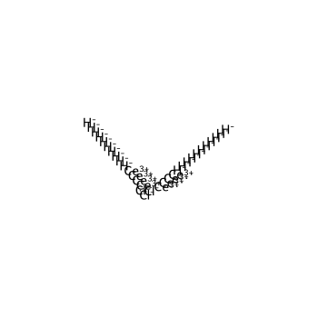 [Ce+3].[Ce+3].[Ce+3].[Ce+3].[Ce+3].[Ce+3].[Ce+3].[Ce+3].[Cl-].[Cl-].[Cl-].[H-].[H-].[H-].[H-].[H-].[H-].[H-].[H-].[H-].[H-].[H-].[H-].[H-].[H-].[H-].[H-].[H-].[H-].[H-].[H-].[H-]